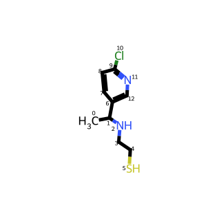 CC(NCCS)c1ccc(Cl)nc1